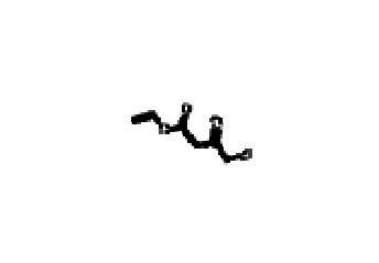 C=COC(=O)CC(=O)CCl